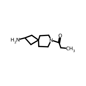 CCC(=O)N1CCC2(CC1)CC(N)C2